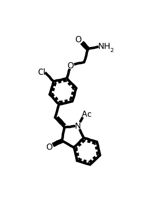 CC(=O)N1C(=Cc2ccc(OCC(N)=O)c(Cl)c2)C(=O)c2ccccc21